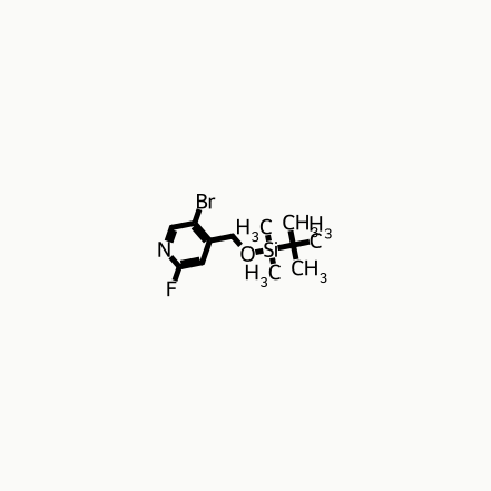 CC(C)(C)[Si](C)(C)OCc1cc(F)ncc1Br